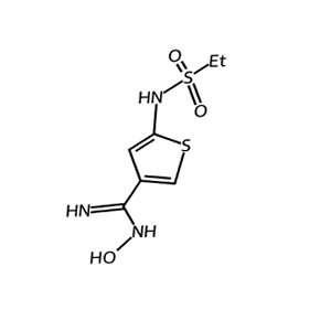 CCS(=O)(=O)Nc1cc(C(=N)NO)cs1